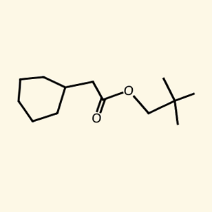 CC(C)(C)COC(=O)CC1CCCCC1